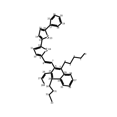 CCCCCc1c(/C=C/c2ccc(-c3ccc(-c4ccccc4)s3)s2)c(/C=C\I)c(CCCC)c2ccccc12